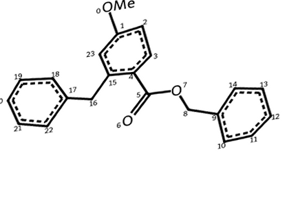 COc1ccc(C(=O)OCc2ccccc2)c(Cc2ccccc2)c1